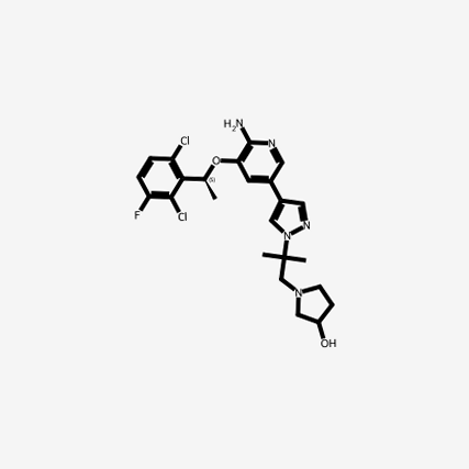 C[C@H](Oc1cc(-c2cnn(C(C)(C)CN3CCC(O)C3)c2)cnc1N)c1c(Cl)ccc(F)c1Cl